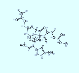 CC(=O)O/N=C(\C(=O)N[C@]1(C(=O)OC(C)OC(=O)OC(C)C)C(=O)N2C=C(COC(=O)N(C)C)CS[C@H]21)c1csc(N)n1